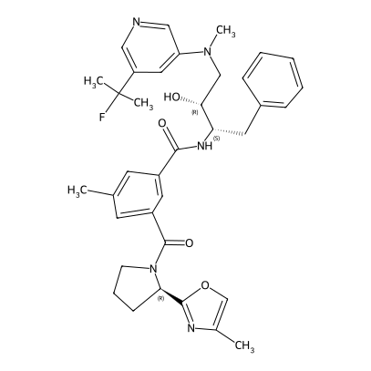 Cc1cc(C(=O)N[C@@H](Cc2ccccc2)[C@H](O)CN(C)c2cncc(C(C)(C)F)c2)cc(C(=O)N2CCC[C@@H]2c2nc(C)co2)c1